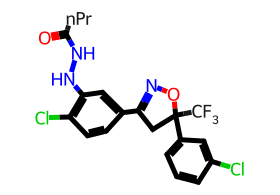 CCCC(=O)NNc1cc(C2=NOC(c3cccc(Cl)c3)(C(F)(F)F)C2)ccc1Cl